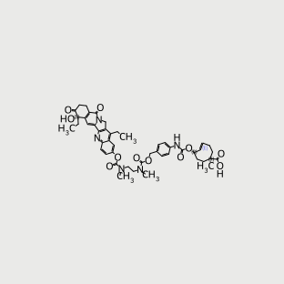 CCc1c2c(nc3ccc(OC(=O)N(C)CCN(C)C(=O)OCc4ccc(NC(=O)O[C@H]5/C=C/CC[C@@](C)(C(=O)O)CC5)cc4)cc13)-c1cc3c(c(=O)n1C2)CCC(=O)[C@]3(O)CC